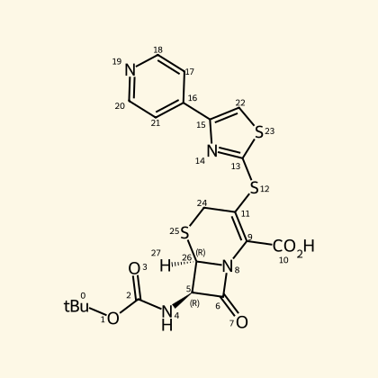 CC(C)(C)OC(=O)N[C@@H]1C(=O)N2C(C(=O)O)=C(Sc3nc(-c4ccncc4)cs3)CS[C@H]12